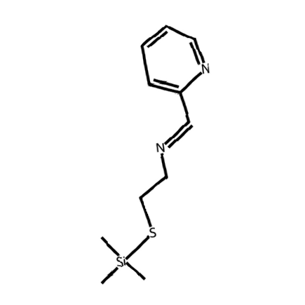 C[Si](C)(C)SCC/N=C/c1ccccn1